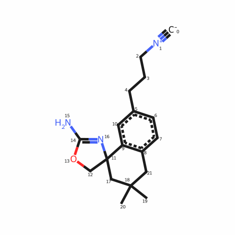 [C-]#[N+]CCCc1ccc2c(c1)C1(COC(N)=N1)CC(C)(C)C2